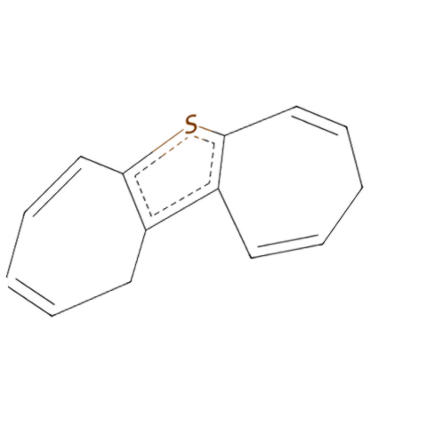 C1=CCc2c(sc3c2C=CCC=C3)C=C1